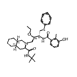 CCO[C@H](CN1C[C@H]2CCCC[C@H]2CC1C(=O)NC(C)(C)C)[C@H](CSc1ccccc1)NC(=O)c1cccc(O)c1C